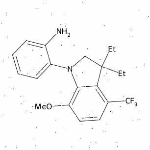 CCC1(CC)CN(c2ccccc2N)c2c(OC)ccc(C(F)(F)F)c21